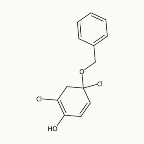 OC1=C(Cl)CC(Cl)(OCc2ccccc2)C=C1